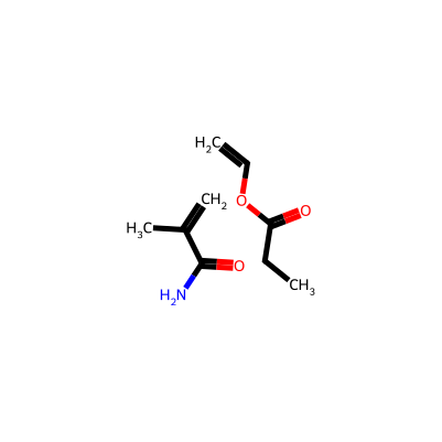 C=C(C)C(N)=O.C=COC(=O)CC